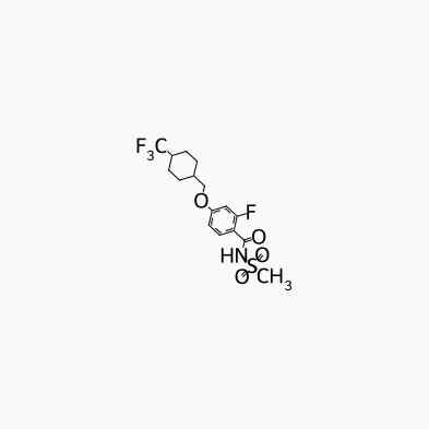 CS(=O)(=O)NC(=O)c1ccc(OCC2CCC(C(F)(F)F)CC2)cc1F